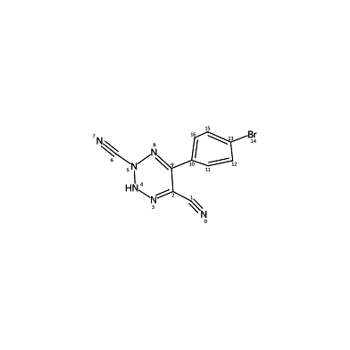 N#CC1=NNN(C#N)N=C1c1ccc(Br)cc1